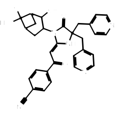 CC1C(N2C(=O)C(Cc3ccncc3)(Cc3ccncc3)NC2=CC(=O)c2ccc(C#N)cc2)CC2CC1C2(C)C